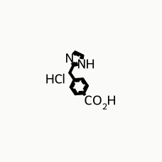 Cl.O=C(O)c1ccc(Cc2ncc[nH]2)cc1